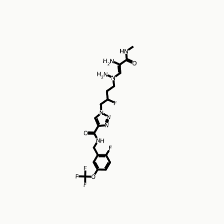 CNC(=O)/C(N)=C/N(N)CCC(F)Cn1cc(C(=O)NCc2cc(OC(F)(F)F)ccc2F)nn1